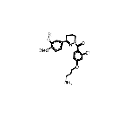 CCOc1cc(C2=NN(C(=O)c3ccc(OCCCN)cc3Cl)CCC2)ccc1OC